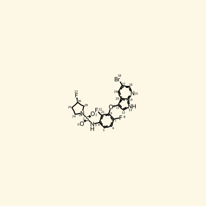 O=S(=O)(Nc1ccc(F)c(Oc2c[nH]c3ncc(Br)cc23)c1F)N1CC[C@@H](F)C1